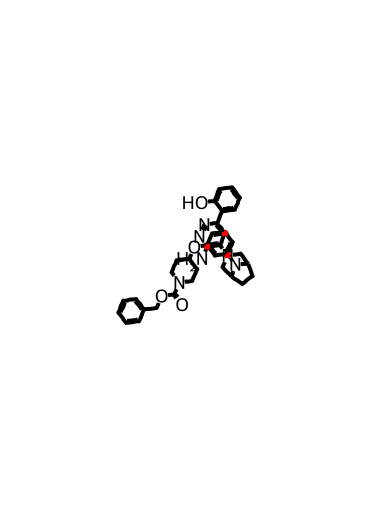 Nc1nnc(-c2ccccc2O)cc1N1CC2CCC(C1)N2c1cccc(OC2CCN(C(=O)OCc3ccccc3)CC2)c1